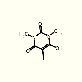 Cn1c(O)c(I)c(=O)n(C)c1=O